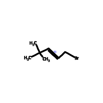 CC(C)(C)/C=C/CBr